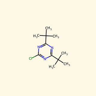 CC(C)(C)c1nc(Cl)nc(C(C)(C)C)n1